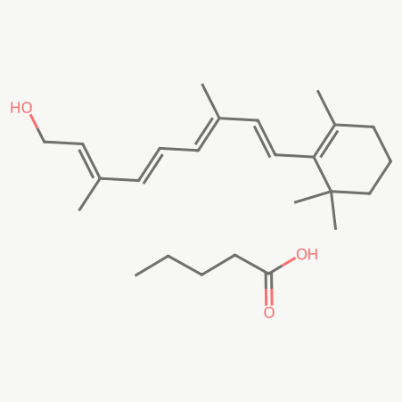 CC(C=CC1=C(C)CCCC1(C)C)=CC=CC(C)=CCO.CCCCC(=O)O